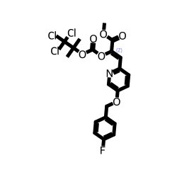 COC(=O)/C(=C/c1ccc(OCc2ccc(F)cc2)cn1)OC(=O)OC(C)(C)C(Cl)(Cl)Cl